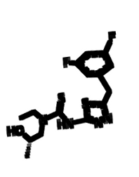 CCN(C[C@H](C)O)C(=S)Nc1nnc(Cc2cc(F)cc(F)c2)s1